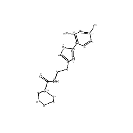 O=C(NCCc1csc(-c2ccc(F)cc2F)n1)N1CCCCC1